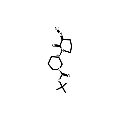 CC(C)(C)OC(=O)N1CCC[C@@H](N2CCCC(=[N+]=[N-])C2=O)C1